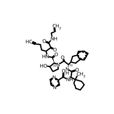 C#CCCC(NC(=O)[C@@H]1C(O)CCN1C(=O)[C@@H](NC(=O)[C@@H](NC(=O)c1cnccn1)C1(C)CCCCC1)C1Cc2ccccc2C1)C(=O)C(=O)NCC=C